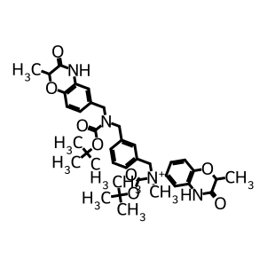 CC1Oc2ccc(CN(Cc3cccc(C[N+](C)(C(=O)OC(C)(C)C)c4ccc5c(c4)NC(=O)C(C)O5)c3)C(=O)OC(C)(C)C)cc2NC1=O